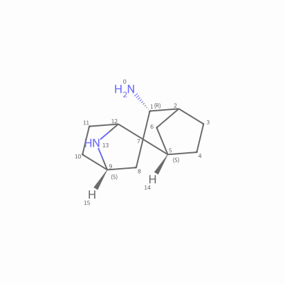 N[C@@H]1C2CC[C@@H](C2)C12C[C@@H]1CCC2N1